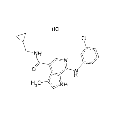 Cc1c[nH]c2c(Nc3cccc(Cl)c3)ncc(C(=O)NCC3CC3)c12.Cl